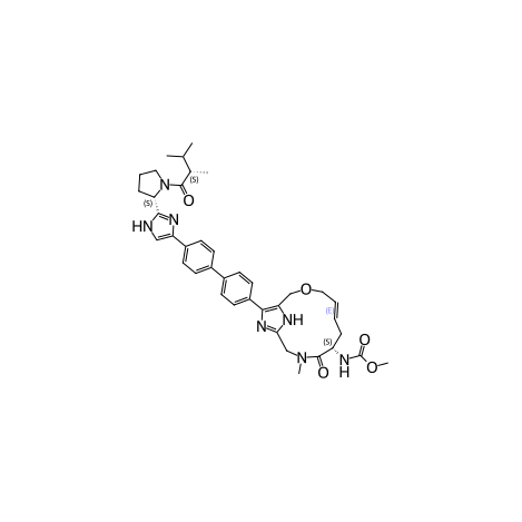 COC(=O)N[C@H]1C/C=C/COCc2[nH]c(nc2-c2ccc(-c3ccc(-c4c[nH]c([C@@H]5CCCN5C(=O)[C@@H](C)C(C)C)n4)cc3)cc2)CN(C)C1=O